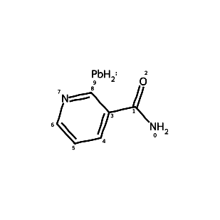 NC(=O)c1cccnc1.[PbH2]